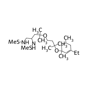 CCC1=CC(C)(OC(C)(C)CCOC(C)(C)CC(CNSC)NSC)CC(C)C1